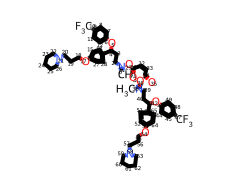 CN(CCC(Oc1ccc(C(F)(F)F)cc1)c1ccc(OCCCN2CCCCC2)cc1)OC(=O)/C=C\C(=O)ON(C)CCC(Oc1ccc(C(F)(F)F)cc1)c1ccc(OCCCN2CCCCC2)cc1